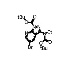 CCN(C(=O)OC(C)(C)C)c1nn(C(=O)OC(C)(C)C)c2ncc(Br)cc12